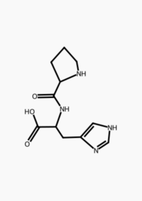 O=C(O)C(Cc1c[nH]cn1)NC(=O)C1CCCN1